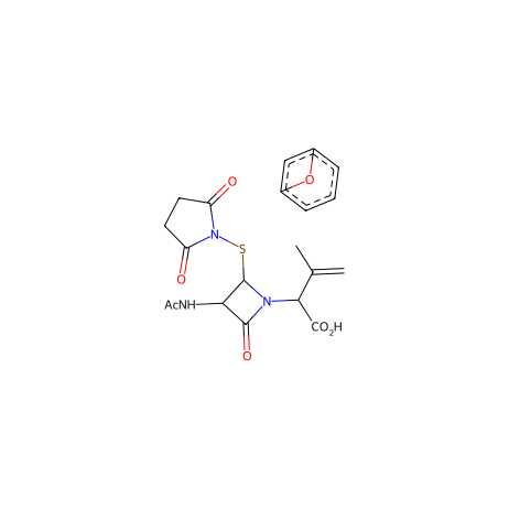 C=C(C)C(C(=O)O)N1C(=O)C(NC(C)=O)C1SN1C(=O)CCC1=O.c1cc2cc(c1)O2